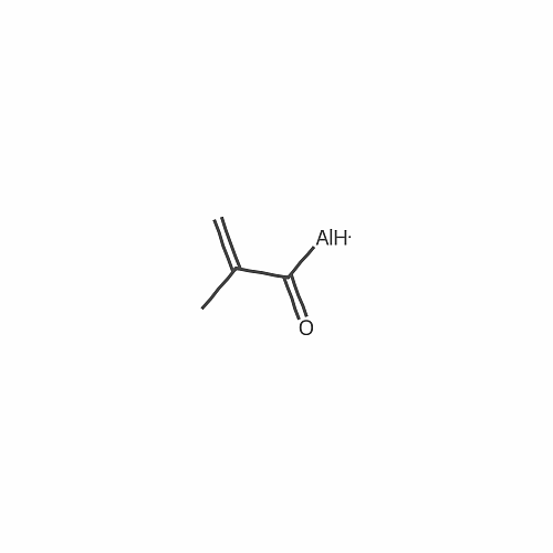 C=C(C)[C](=O)[AlH]